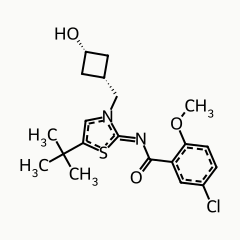 COc1ccc(Cl)cc1C(=O)/N=c1\sc(C(C)(C)C)cn1C[C@H]1C[C@@H](O)C1